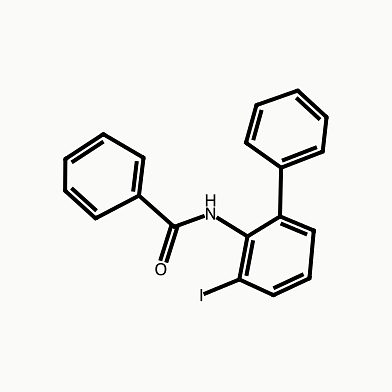 O=C(Nc1c(I)cccc1-c1ccccc1)c1ccccc1